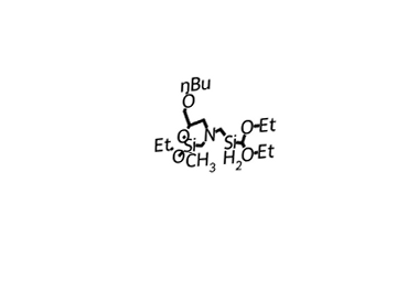 CCCCOCC1CN(C[SiH2]C(OCC)OCC)C[Si](C)(OCC)O1